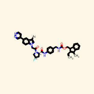 C=CC1=C(C)c2ccccc2C1COC(=O)NCc1ccc(NC(=O)[C@@H]2C[C@@H](F)CN2C(=O)Cn2cc(C(C)=O)c3cc(-c4ccnnc4)ccc32)cc1